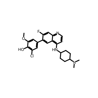 COc1cc(-c2cc3c(NC4CCC(N(C)C)CC4)[c]cnc3cc2F)cc(Cl)c1O